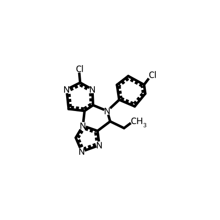 CCC1c2nncn2-c2cnc(Cl)nc2N1c1ccc(Cl)cc1